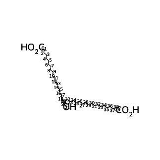 O=C(O)CCCCCCCCCCCCCCCCCC[C@H](CO)CCCCCCCCCCCCCCCCCC(=O)O